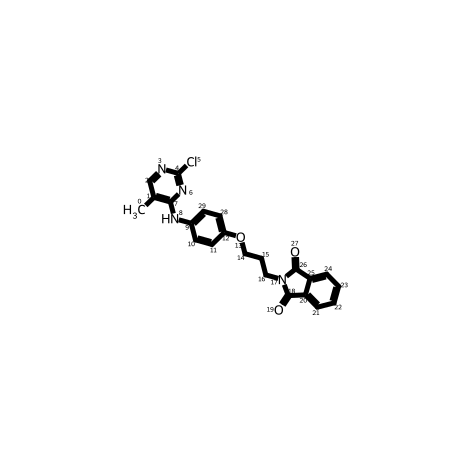 Cc1cnc(Cl)nc1Nc1ccc(OCCCN2C(=O)c3ccccc3C2=O)cc1